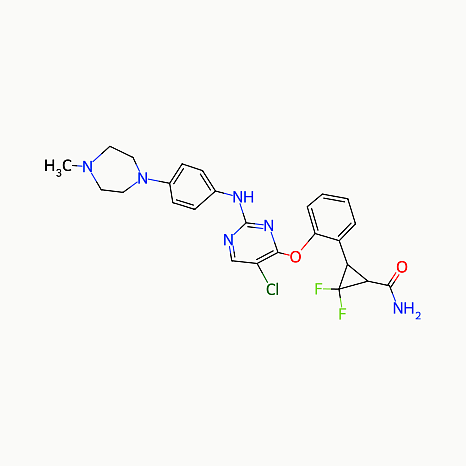 CN1CCN(c2ccc(Nc3ncc(Cl)c(Oc4ccccc4C4C(C(N)=O)C4(F)F)n3)cc2)CC1